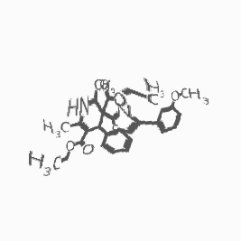 CCOC(=O)C1=C(C)NC(C)C(C(=O)OCC)(c2nc(-c3cccc(OC)c3)cs2)C1c1ccccc1